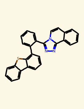 c1ccc(-c2nnc3c4ccccc4ccn23)c(-c2cccc3c2sc2ccccc23)c1